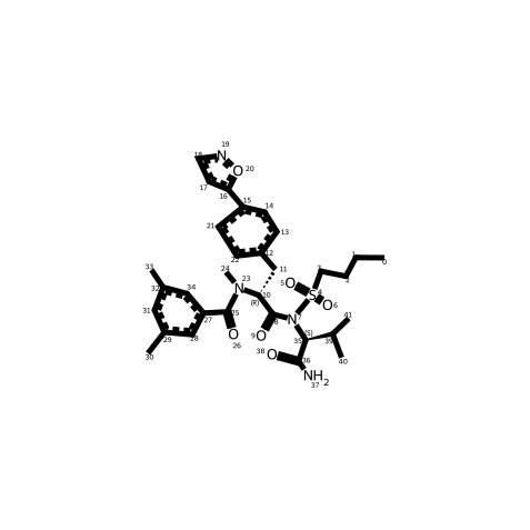 CCCCS(=O)(=O)N(C(=O)[C@@H](Cc1ccc(-c2ccno2)cc1)N(C)C(=O)c1cc(C)cc(C)c1)[C@H](C(N)=O)C(C)C